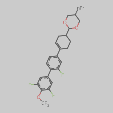 CCCC1COC(C2CC=C(c3ccc(-c4cc(F)c(OC(F)(F)F)c(F)c4)c(F)c3)CC2)OC1